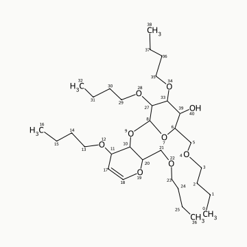 CCCCOCC1OC(OC2C(OCCCC)C=COC2COCCCC)C(OCCCC)C(OCCCC)C1O